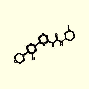 CN1CCC[C@H](NC(=O)Nc2cncc(-c3ccc(N4CCOCC4)c(Cl)c3)n2)C1